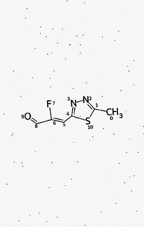 Cc1nnc(C=C(F)C=O)s1